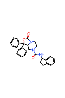 O=C(NC1CCc2ccccc21)N1CCN2C(=O)OC(c3ccccc3)(c3ccccc3)C2C1